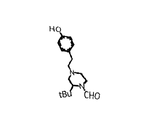 CC(C)(C)C1CN(CCc2ccc(O)cc2)CCN1C=O